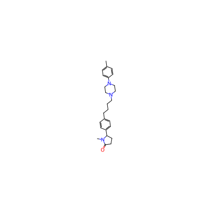 Cc1ccc(N2CCN(CCCCc3ccc(C4CCC(=O)N4C)cc3)CC2)cc1